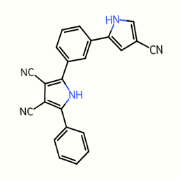 N#Cc1c[nH]c(-c2cccc(-c3[nH]c(-c4ccccc4)c(C#N)c3C#N)c2)c1